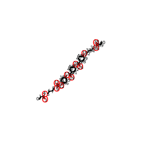 C=CC(=O)OCCCCOC(=O)Oc1ccc(OC(=O)c2ccc(OC(=O)c3ccc(OCCCCOC(=O)C=C)cc3)cc2)cc1